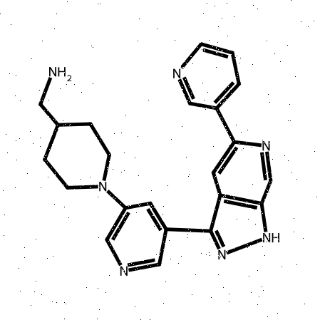 NCC1CCN(c2cncc(-c3n[nH]c4cnc(-c5cccnc5)cc34)c2)CC1